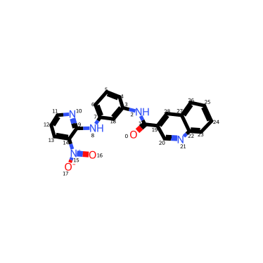 O=C(Nc1cccc(Nc2ncccc2[N+](=O)[O-])c1)c1cnc2ccccc2c1